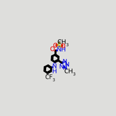 Cn1nnc(-c2cc(C(=O)NS(C)(=O)=O)ccc2Nc2cccc(C(F)(F)F)c2)n1